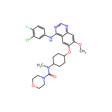 COc1cc2ncnc(Nc3ccc(F)c(Cl)c3)c2cc1OC1CCC(N(C)C(=O)N2CCOCC2)CC1